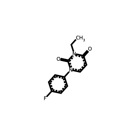 CCn1c(=O)ccn(-c2ccc(F)cc2)c1=O